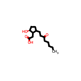 CCCCCC(=O)CCC1CC[C@H](O)C1CC(=O)O